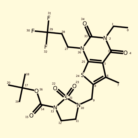 CCn1c(=O)c2c(C)c(CN3CCN(C(=O)OC(C)(C)C)S3(=O)=O)sc2n(CCC(F)(F)F)c1=O